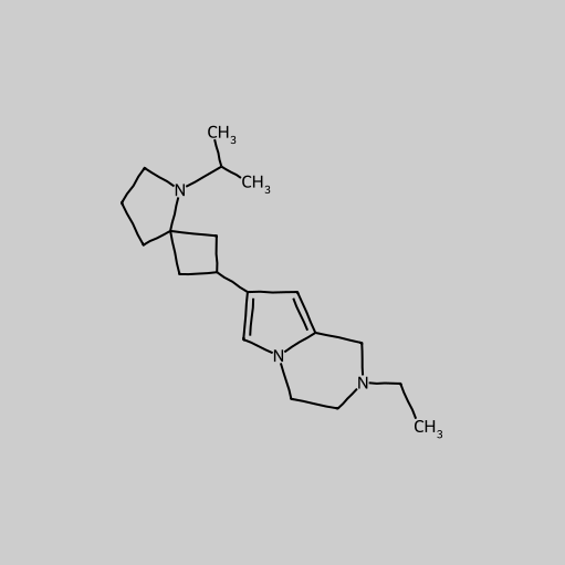 CCN1CCn2cc(C3CC4(CCCN4C(C)C)C3)cc2C1